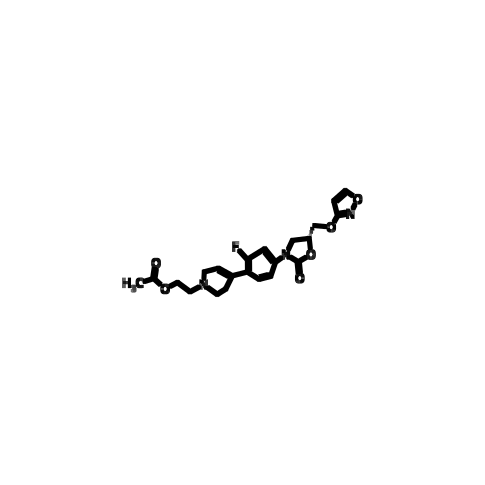 CC(=O)OCCN1CC=C(c2ccc(N3C[C@H](COc4ccon4)OC3=O)cc2F)CC1